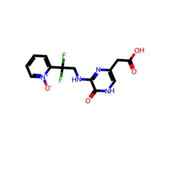 O=C(O)Cc1c[nH]c(=O)c(NCC(F)(F)c2cccc[n+]2[O-])n1